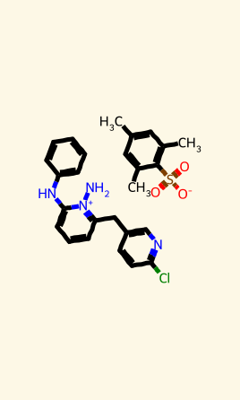 Cc1cc(C)c(S(=O)(=O)[O-])c(C)c1.N[n+]1c(Cc2ccc(Cl)nc2)cccc1Nc1ccccc1